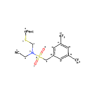 CCCCCSCN(CC#N)S(=O)(=O)Cc1cc(C(F)(F)F)cc(C(F)(F)F)c1